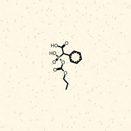 CCCOC(=O)OP(=O)(O)C(C(=O)O)c1ccccc1